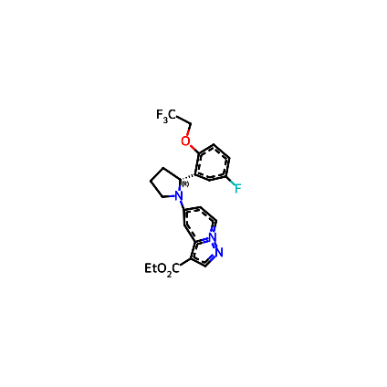 CCOC(=O)c1cnn2ccc(N3CCC[C@@H]3c3cc(F)ccc3OCC(F)(F)F)cc12